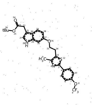 Cc1nc(-c2ccc(OC(F)(F)F)cc2)sc1CCOc1ccc2c(CC(=O)OC(C)(C)C)c[nH]c2c1